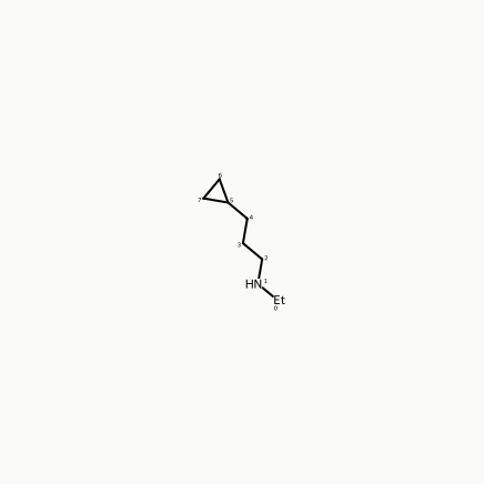 CCNCCCC1CC1